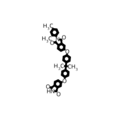 Cc1ccc(N2C(=O)c3ccc(Oc4ccc(C(C)(C)c5ccc(Oc6ccc7c(c6)C(=O)NC7=O)cc5)cc4)cc3C2=O)c(C)c1